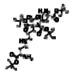 CC(C)(C)OC(=O)C(N)CCNCCC[C@](C(=O)O)(C(=O)OC(C)(C)C)N(CCC(N)C(=O)OC(C)(C)C)C(=O)OC(C)(C)C